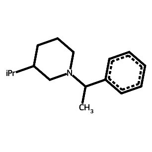 CC(C)C1CCCN(C(C)c2ccccc2)C1